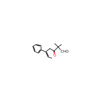 CC=C(CC(=O)C(C)(C)[C]=O)c1ccccc1